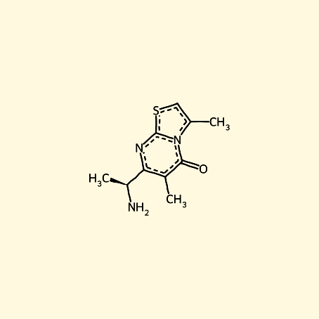 Cc1c([C@H](C)N)nc2scc(C)n2c1=O